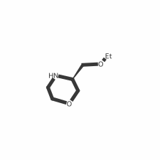 CCOC[C@H]1COCCN1